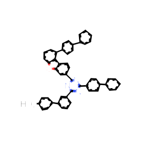 Cc1ccc(-c2cccc(-c3nc(-c4ccc(-c5ccccc5)cc4)nc(-c4ccc5c(c4)oc4cccc(-c6ccc(-c7ccccc7)cc6)c45)n3)c2)cc1